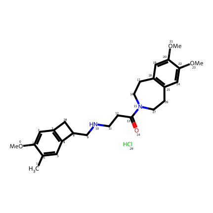 COc1cc2c(cc1C)C(CNCCC(=O)N1CCc3cc(OC)c(OC)cc3CC1)C2.Cl